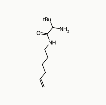 C=CCCCCNC(=O)C(N)C(C)(C)C